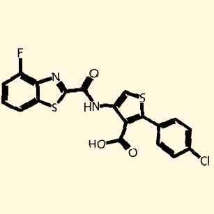 O=C(Nc1csc(-c2ccc(Cl)cc2)c1C(=O)O)c1nc2c(F)cccc2s1